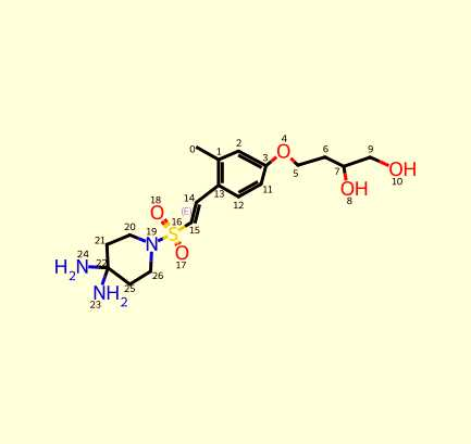 Cc1cc(OCCC(O)CO)ccc1/C=C/S(=O)(=O)N1CCC(N)(N)CC1